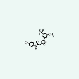 Cc1cc(C2=NOC(CC(=O)Nc3ccc(Cl)cc3)C2)cc(C(F)(F)F)c1